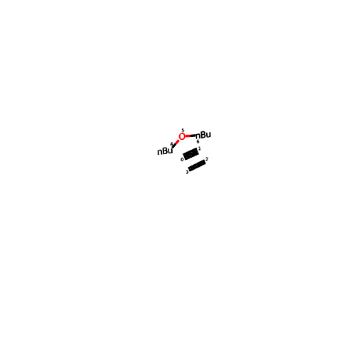 C#C.C=C.CCCCOCCCC